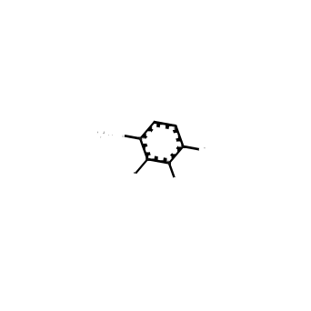 COc1ccc(C(C)=O)c(O)c1I